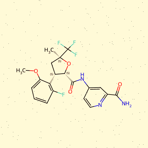 COc1cccc(F)c1[C@@H]1C[C@@](C)(C(F)(F)F)O[C@@H]1C(=O)Nc1ccnc(C(N)=O)c1